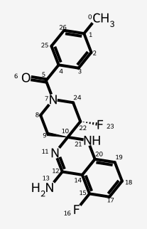 Cc1ccc(C(=O)N2CC[C@@]3(N=C(N)c4c(F)cccc4N3)[C@@H](F)C2)cc1